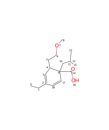 CCC1=CC(CCOC)C(CC(C)C)(C(=O)O)C=C1